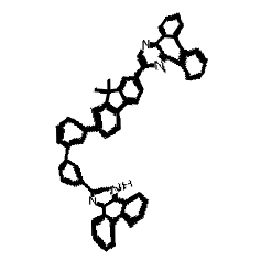 CC1(C)c2cc(-c3cccc(-c4cccc(C5=CNC6C(=N5)c5ccccc5-c5ccccc56)c4)c3)ccc2-c2ccc(-c3cnc4c(n3)C3C=CC=CC3c3ccccc3-4)cc21